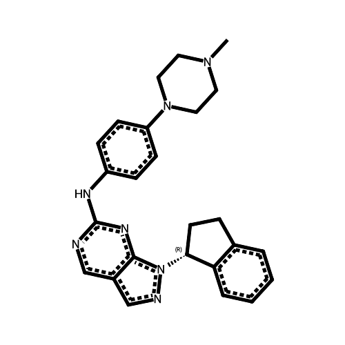 CN1CCN(c2ccc(Nc3ncc4cnn([C@@H]5CCc6ccccc65)c4n3)cc2)CC1